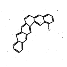 Brc1cccc2cc3ccc4cc5cc6ccccc6cc5cc4c3cc12